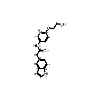 CCCOc1ccc(NC(=O)Cc2ccc3[nH]ccc3c2)nn1